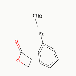 CC=O.CCc1ccccc1.O=C1CCO1